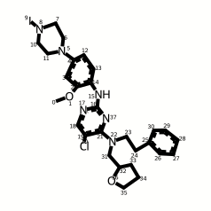 COc1cc(N2CCN(I)CC2)ccc1Nc1ncc(Cl)c(N(CCc2ccccc2)CC2CCCO2)n1